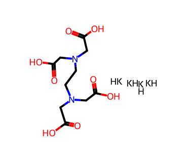 O=C(O)CN(CCN(CC(=O)O)CC(=O)O)CC(=O)O.[KH].[KH].[KH].[KH]